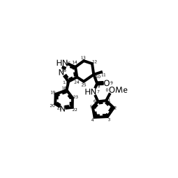 COc1ccccc1NC(=O)C1(C)CCc2[nH]nc(-c3ccncc3)c2C1